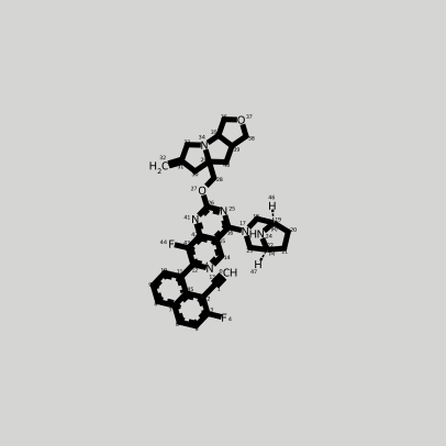 C#Cc1c(F)ccc2cccc(-c3ncc4c(N5C[C@H]6CC[C@@H](C5)N6)nc(OCC56CC(=C)CN5C5COCC5C6)nc4c3F)c12